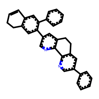 C1=Cc2cc(-c3ccccc3)c(-c3cnc4c(c3)CCc3cc(-c5ccccc5)cnc3-4)cc2CC1